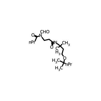 CCCC(=O)N(C=O)CCC(=O)NC(C)(C)CCOC(C)(C)CCC